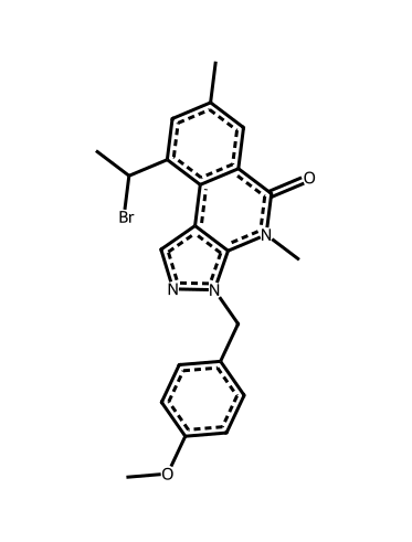 COc1ccc(Cn2ncc3c4c(C(C)Br)cc(C)cc4c(=O)n(C)c32)cc1